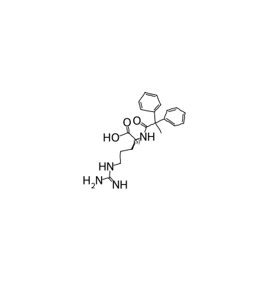 CC(C(=O)N[C@@H](CCCNC(=N)N)C(=O)O)(c1ccccc1)c1ccccc1